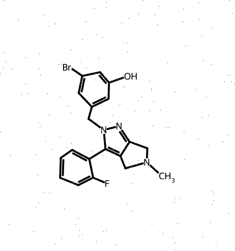 CN1Cc2nn(Cc3cc(O)cc(Br)c3)c(-c3ccccc3F)c2C1